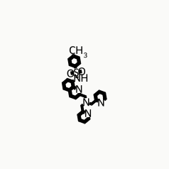 Cc1ccc(S(=O)(=O)Nc2cccc3ccc(CN(Cc4ccccn4)Cc4ccccn4)nc23)cc1